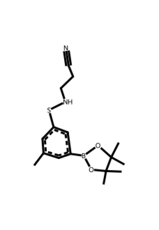 Cc1cc(SNCCC#N)cc(B2OC(C)(C)C(C)(C)O2)c1